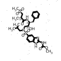 COC(=O)Nc1nc2cc(S(=O)(=O)N(CC(C)C)C[C@@H](O)[C@H](Cc3ccccc3)NC(=O)[C@H](C)CS(C)(=O)=O)ccc2[nH]1